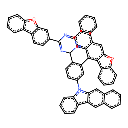 c1ccc(C2=NC(c3ccc4c(c3)oc3ccccc34)=NC(c3ccc(-n4c5ccccc5c5cc6ccccc6cc54)cc3-c3c4ccccc4cc4oc5ccccc5c34)N2)cc1